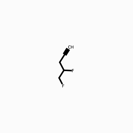 C#CCC(F)CF